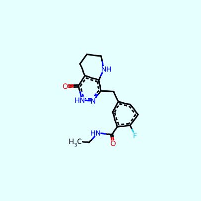 CCNC(=O)c1cc(Cc2n[nH]c(=O)c3c2NCCC3)ccc1F